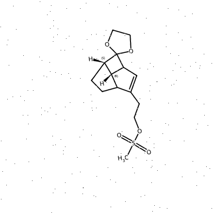 CS(=O)(=O)OCCC1=CC2[C@@H]3C1CC[C@@H]3C21OCCO1